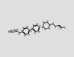 C/C=C/CC[C@H]1CC[C@H](c2ccc(-c3ccc(COCCCC)cc3)cc2)CC1